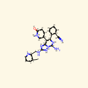 Cc1cccnc1CNc1nc2c(-c3ccc(=O)n(C)c3)c(-c3ccccc3C#N)nc(N)n2n1